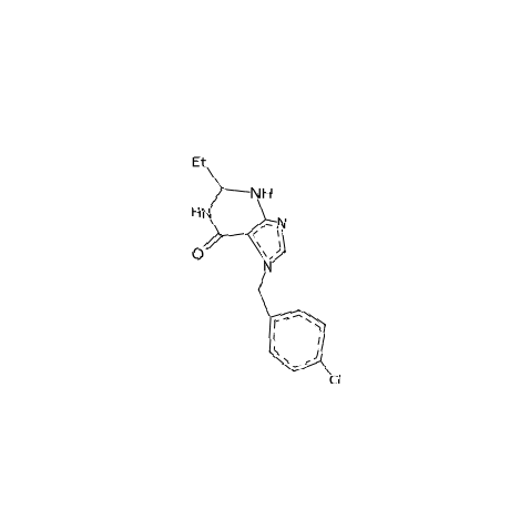 CCC1NC(=O)c2c(ncn2Cc2ccc(Cl)cc2)N1